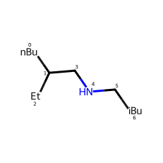 CCCCC(CC)CNCC(C)CC